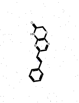 O=C1CSc2ncc(/C=C/c3ccccc3)nc2N1